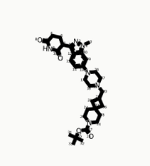 Cn1nc(C2CCC(=O)NC2=O)c2ccc(N3CCN(CC4CC5(CCN(C(=O)OC(C)(C)C)CC5)C4)CC3)cc21